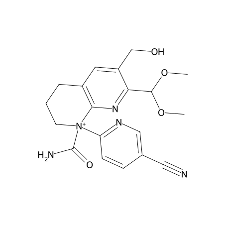 COC(OC)c1nc2c(cc1CO)CCC[N+]2(C(N)=O)c1ccc(C#N)cn1